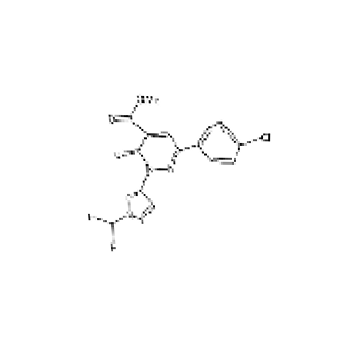 COC(=O)c1cc(-c2ccc(Cl)cc2)nn(-c2cnn(C(F)F)c2)c1=O